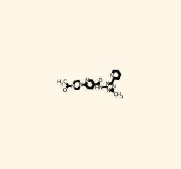 CC(=O)N1CCN(c2ccc(C(=O)Nc3nc(C)nc(-c4ccccn4)n3)cn2)CC1